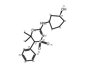 CC1(C)OC(NC2CCC[C@H](O)C2)=NS(=O)(=O)C1c1ccccc1